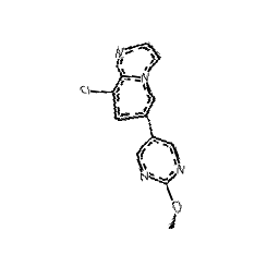 COc1ncc(-c2cc(Cl)c3nccn3c2)cn1